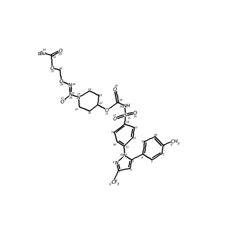 Cc1ccc(-c2cc(C(F)(F)F)nn2-c2ccc(S(=O)(=O)NC(=O)OC3CCN([N+]([O-])=NOCOC(=O)C(C)(C)C)CC3)cc2)cc1